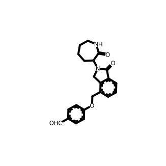 O=Cc1ccc(OCc2cccc3c2CN(C2CCCCNC2=O)C3=O)cc1